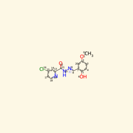 COc1ccc(O)c(/C=N/NC(=O)c2cc(Cl)ccn2)c1